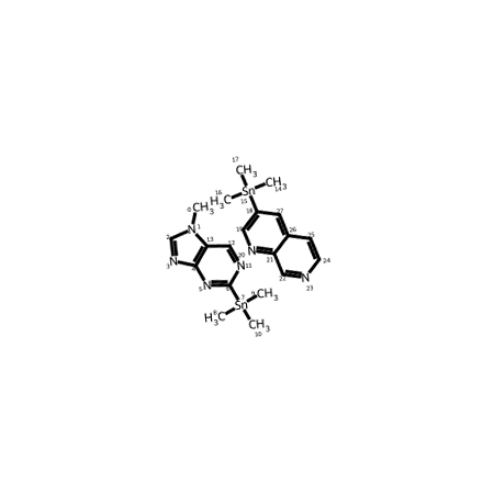 Cn1cnc2n[c]([Sn]([CH3])([CH3])[CH3])ncc21.[CH3][Sn]([CH3])([CH3])[c]1cnc2cnccc2c1